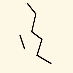 [CH2]C.[CH2]CCCCC